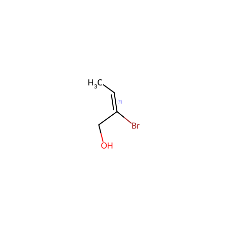 C/C=C(/Br)CO